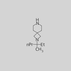 CCCC(C)(CC)N1CC2(CCNCC2)C1